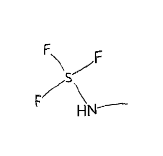 CNS(F)(F)F